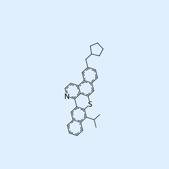 CC(C)c1c2c(cc3ccccc13)-c1nccc3c1c(cc1ccc(CC4CCCC4)cc13)S2